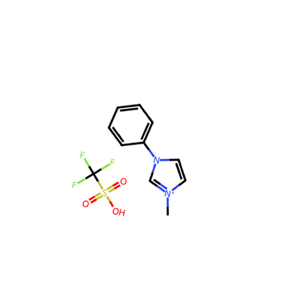 C[n+]1ccn(-c2ccccc2)c1.O=S(=O)(O)C(F)(F)F